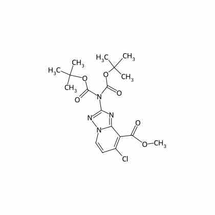 COC(=O)c1c(Cl)ccn2nc(N(C(=O)OC(C)(C)C)C(=O)OC(C)(C)C)nc12